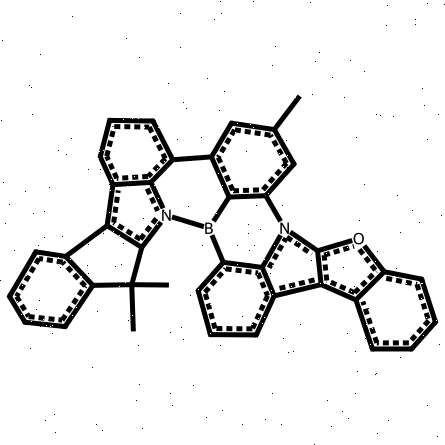 Cc1cc2c3c(c1)-n1c4oc5ccccc5c4c4cccc(c41)B3n1c3c(c4cccc-2c41)-c1ccccc1C3(C)C